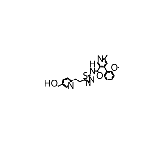 COc1ccccc1-c1cc(C)ncc1C(=O)Nc1nnc(CCc2ccc(CO)cn2)s1